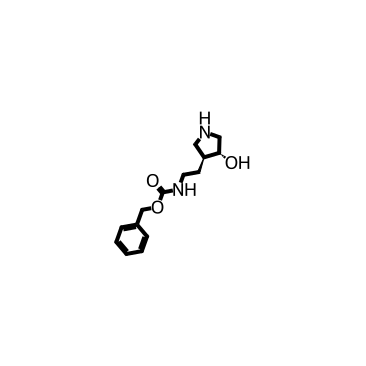 O=C(NCC[C@H]1CNC[C@@H]1O)OCc1ccccc1